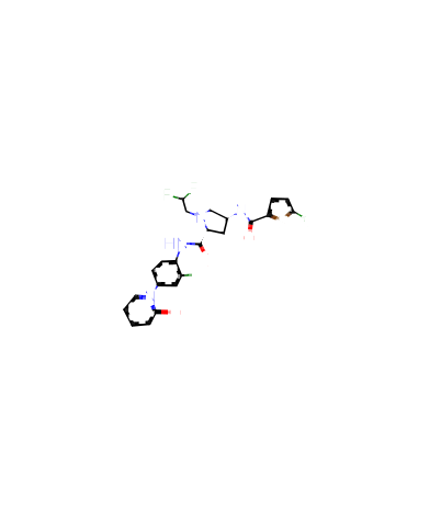 O=C(N[C@H]1C[C@@H](C(=O)Nc2ccc(-n3ccccc3=O)cc2F)N(CC(F)F)C1)c1ccc(Cl)s1